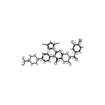 Cc1cc(C)n(-c2nc3c(c(=O)n2-c2ccc(N4CCN(C(C)C)CC4)nc2)CC(C)N(C(=O)c2ccc(Br)c(C)c2)C3)n1